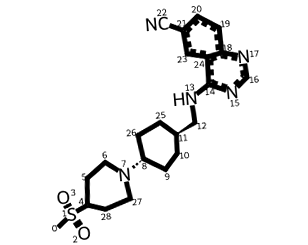 CS(=O)(=O)C1CCN([C@H]2CC[C@H](CNc3ncnc4ccc(C#N)cc34)CC2)CC1